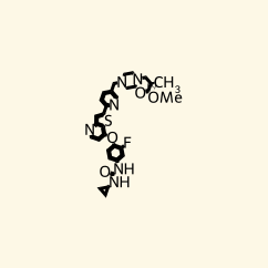 COC(=O)[C@H](C)CN1CCN(Cc2ccc(-c3cc4nccc(Oc5ccc(NC(=O)NC6CC6)cc5F)c4s3)nc2)CC1